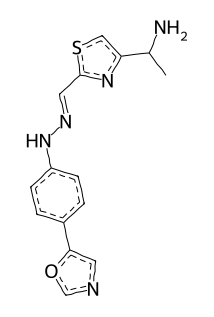 CC(N)c1csc(C=NNc2ccc(-c3cnco3)cc2)n1